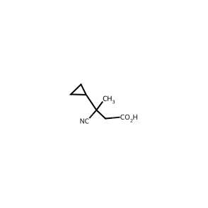 CC(C#N)(CC(=O)O)C1CC1